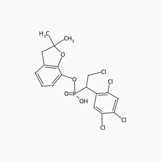 CC1(C)Cc2cccc(OP(=O)(O)C(CCl)c3cc(Cl)c(Cl)cc3Cl)c2O1